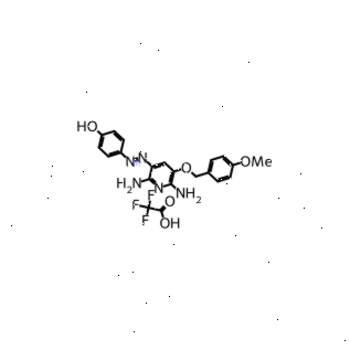 COc1ccc(COc2cc(/N=N/c3ccc(O)cc3)c(N)nc2N)cc1.O=C(O)C(F)(F)F